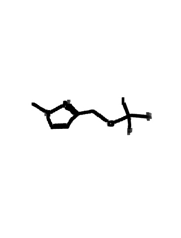 Cn1ccc(COC(F)(F)I)n1